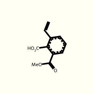 C=Cc1cccc(C(=O)OC)c1C(=O)O